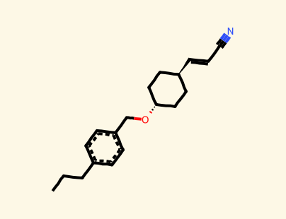 CCCc1ccc(CO[C@H]2CC[C@H](/C=C/C#N)CC2)cc1